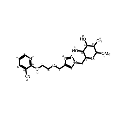 COC1OC(Cn2cc(COCCOc3ncccc3C#N)nn2)C(O)C(O)C1O